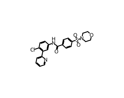 O=C(Nc1ccc(Cl)c(-c2ccccn2)c1)c1ccc(S(=O)(=O)N2CCOCC2)cc1